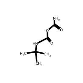 CC(C)(C)NC(=O)OC(N)=O